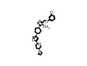 Cn1c(COc2cccc(Cl)c2)nnc1[C@H]1CC[C@H](c2cc([C@@H]3CC[C@@H](N4CCC4)CO3)on2)CC1